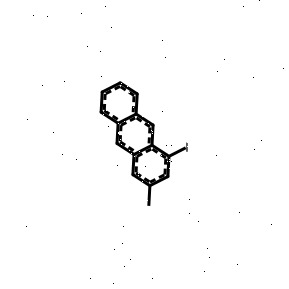 Cc1cc(I)c2cc3ccccc3cc2c1